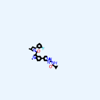 CC1C[C@@H](c2cccc(F)c2)N(C(=O)c2cn(C)c3ccc(-c4ccn5nc(NC(=O)C6CC6)nc5c4)cc23)C1